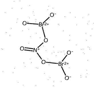 O=[N+](O[Br+2]([O-])[O-])O[Br+2]([O-])[O-]